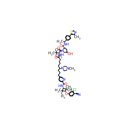 Cc1ncsc1-c1ccc(C(C)NC(=O)[C@@H]2C[C@@H](O)CN2C(=O)C(NC(=O)CCCCC(CCCc2ccc(C(=O)N[C@H]3C(C)(C)[C@H](Oc4ccc(C#N)c(Cl)c4)C3(C)C)nc2)N2CCN(C)CC2)C(C)(C)C)cc1